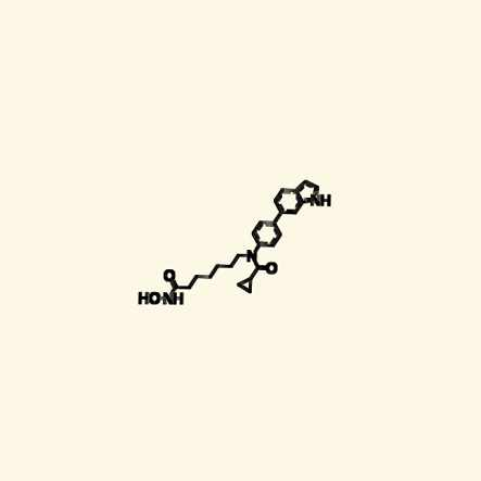 O=C(CCCCCCN(C(=O)C1CC1)c1ccc(-c2ccc3cc[nH]c3c2)cc1)NO